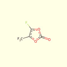 O=c1oc(F)c(C(F)(F)F)o1